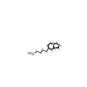 O=C(O)CCCCc1ccn2cncc2c1